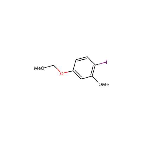 COCOc1ccc(I)c(OC)c1